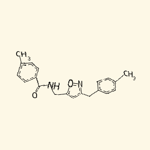 Cc1ccc(Cc2cc(CNC(=O)c3ccc(C)cc3)on2)cc1